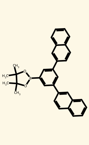 CC1(C)OB(c2cc(-c3ccc4ccccc4c3)cc(-c3ccc4ccccc4c3)c2)OC1(C)C